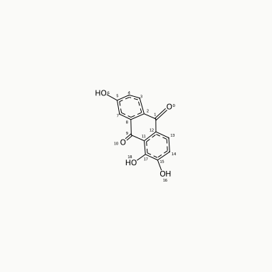 O=C1c2ccc(O)cc2C(=O)c2c1ccc(O)c2O